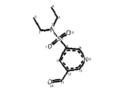 CCN(CC)S(=O)(=O)c1cncc(C=O)c1